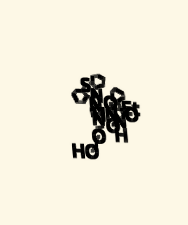 CCC1(c2ccccc2)C(=O)NC(=O)NC1=O.OCCOCCN1CCN(C2=Nc3ccccc3Sc3ccccc32)CC1